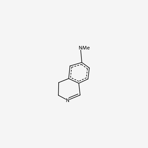 CNc1ccc2c(c1)CCN=C2